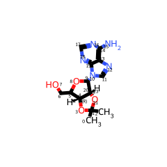 CC1(C)O[C@@H]2C(CO)OC(n3cnc4c(N)ncnc43)[C@@H]2O1